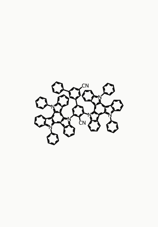 N#Cc1cc(-c2ccccc2)cc(-c2cc(-n3c4ccccc4c4c5c(c6ccccc6n5-c5ccccc5)c5c(c6ccccc6n5-c5ccccc5)c43)c(C#N)c(-n3c4ccccc4c4c5c(c6ccccc6n5-c5ccccc5)c5c(c6ccccc6n5-c5ccccc5)c43)c2)c1